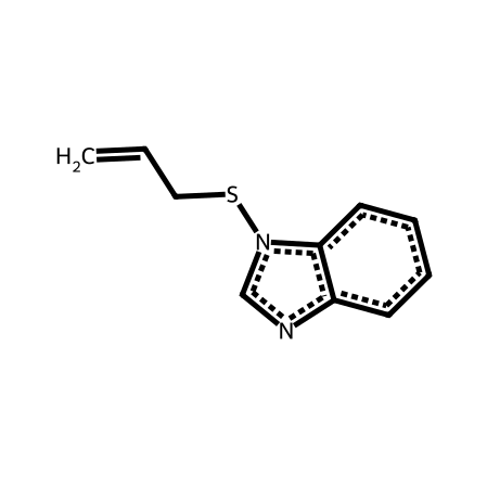 C=CCSn1cnc2ccccc21